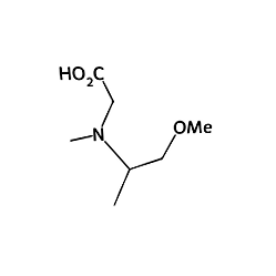 COCC(C)N(C)CC(=O)O